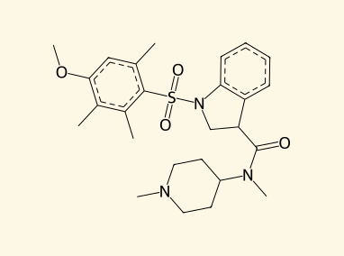 COc1cc(C)c(S(=O)(=O)N2CC(C(=O)N(C)C3CCN(C)CC3)c3ccccc32)c(C)c1C